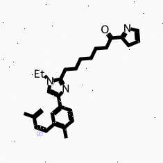 C=C(C)/C=C\c1cc(-c2cn(CC)c(CCCCCCC(=O)C3=NC=CC3)n2)ccc1C